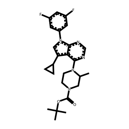 CC1CN(C(=O)OC(C)(C)C)CCN1c1ncnc2c1c(C1CC1)cn2-c1cc(F)cc(F)c1